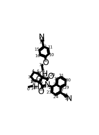 CC[C@]12CC[C@](CCOc3ccc(C#N)cc3)(O1)[C@@H]1C(=O)N(c3ccc(C#N)c4ccccc34)C(=O)[C@@H]12